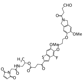 COc1cc2c(cc1OCCCOc1c(OC)cc3sc(C(=O)CCC(=O)OC(C)CNC(=O)CN4C(=O)C=CC4=O)cc3c1F)CN(C(=O)CCC=O)C2